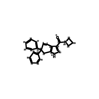 O=C(c1n[nH]c2c1C=CC(c1ccccc1)(c1ccccc1)C2)N1CCC1